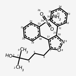 CC(C)(O)CCCc1onc(-c2ccccc2)c1-c1ccccc1S(N)(=O)=O